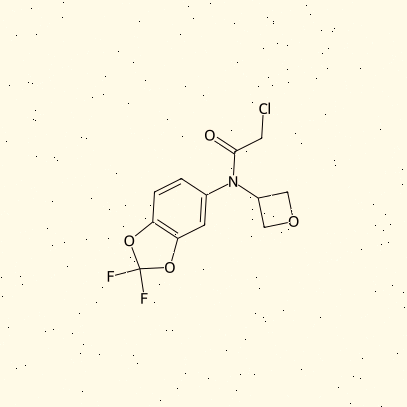 O=C(CCl)N(c1ccc2c(c1)OC(F)(F)O2)C1COC1